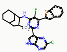 O=C(O)C1CC2CCCC(C2)C1Nc1nc(-c2c[nH]c3ncc(Cl)nc23)nc(-c2cc3ccccc3s2)c1F